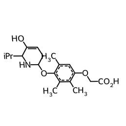 Cc1cc(OCC(=O)O)c(C)c(C)c1OC1CC=C(O)C(C(C)C)N1